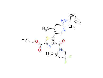 CCOC(=O)c1nc(C(=O)N2CC(F)(F)C[C@@H]2C)c(-c2cnc(NC(C)(C)C)cc2C)s1